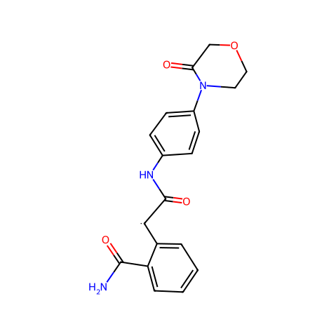 NC(=O)c1ccccc1[CH]C(=O)Nc1ccc(N2CCOCC2=O)cc1